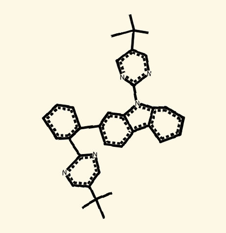 CC(C)(C)c1cnc(-c2ccccc2-c2ccc3c4ccccc4n(-c4ncc(C(C)(C)C)cn4)c3c2)nc1